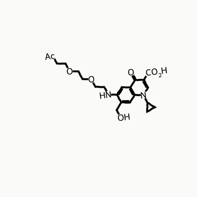 CC(=O)CCOCCOCCNc1cc2c(=O)c(C(=O)O)cn(C3CC3)c2cc1CO